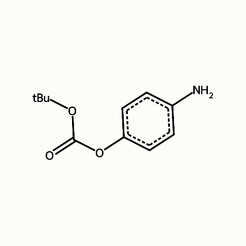 CC(C)(C)OC(=O)Oc1ccc(N)cc1